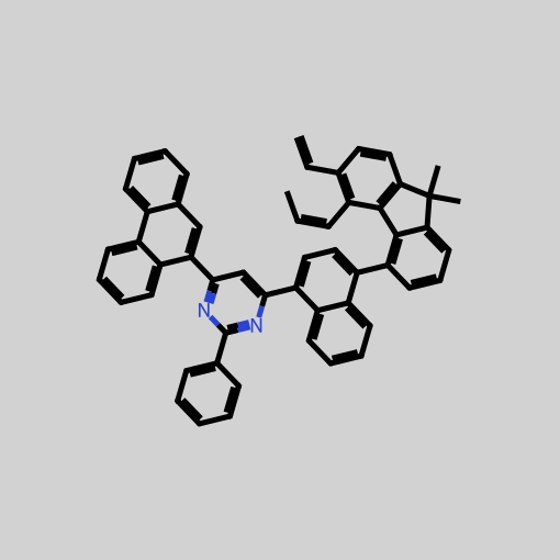 C=Cc1ccc2c(c1/C=C\C)-c1c(-c3ccc(-c4cc(-c5cc6ccccc6c6ccccc56)nc(-c5ccccc5)n4)c4ccccc34)cccc1C2(C)C